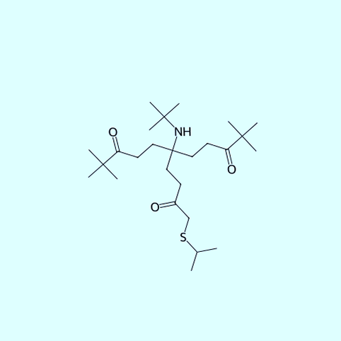 CC(C)SCC(=O)CCC(CCC(=O)C(C)(C)C)(CCC(=O)C(C)(C)C)NC(C)(C)C